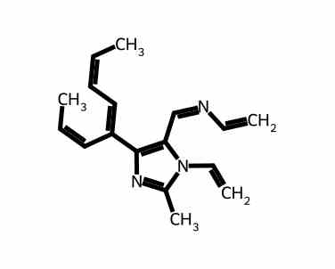 C=C/N=C\c1c(C(/C=C\C)=C/C=C\C)nc(C)n1C=C